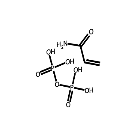 C=CC(N)=O.O=P(O)(O)OP(=O)(O)O